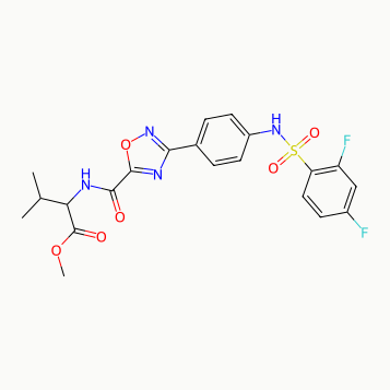 COC(=O)C(NC(=O)c1nc(-c2ccc(NS(=O)(=O)c3ccc(F)cc3F)cc2)no1)C(C)C